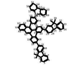 CC1(C)c2ccccc2-c2ccc(-c3ccc4c(c3)c3cc(-c5ccc6c(c5)C(C)(C)c5ccccc5-6)ccc3c3c(-c5ccc(-n6c7ccccc7c7ccccc76)cc5)c5ccccc5cc43)cc21